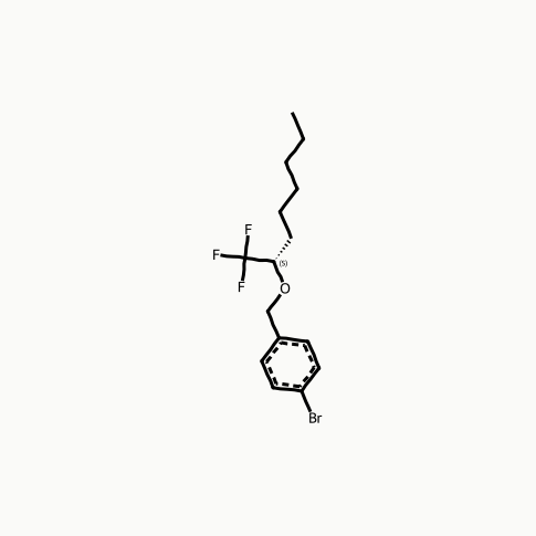 CCCCCC[C@H](OCc1ccc(Br)cc1)C(F)(F)F